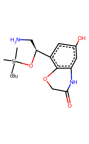 CC(C)(C)[Si](C)(C)O[C@@H](CN)c1cc(O)cc2c1OCC(=O)N2